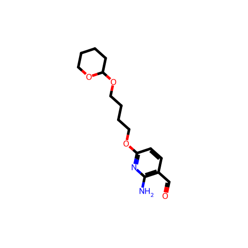 Nc1nc(OCCCCOC2CCCCO2)ccc1C=O